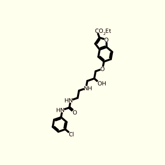 CCOC(=O)c1cc2cc(OCC(O)CNCCNC(=O)Nc3cccc(Cl)c3)ccc2o1